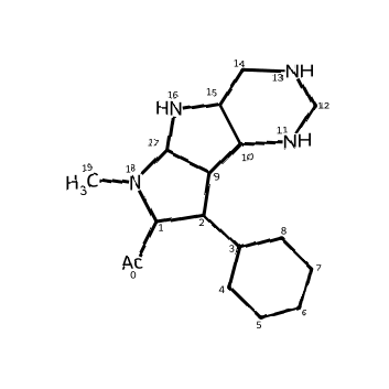 CC(=O)C1C(C2CCCCC2)C2C3NCNCC3NC2N1C